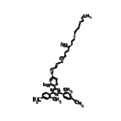 CCCCCCCCCC(O)CCCOCCCOc1ccc(-c2nc(-c3ccc(C)cc3C)nc(-c3ccc(C)cc3C)n2)c(O)c1